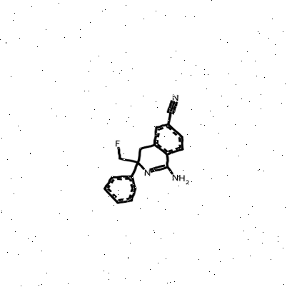 N#Cc1ccc2c(c1)CC(CF)(c1ccccc1)N=C2N